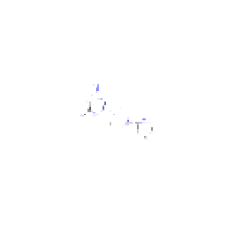 Nc1cc(N)nc(N2CCN(c3ccccn3)CC2)n1